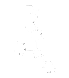 CCS(=O)(=O)NC1CCc2cc(-c3[nH]c(-c4ccccc4)nc3-c3ccncc3)ccc21